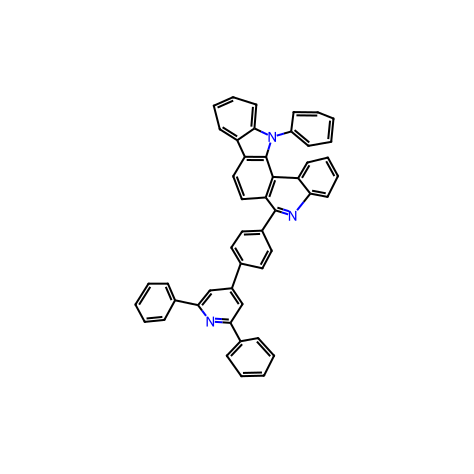 c1ccc(-c2cc(-c3ccc(-c4nc5ccccc5c5c4ccc4c6ccccc6n(-c6ccccc6)c45)cc3)cc(-c3ccccc3)n2)cc1